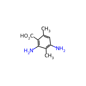 Cc1cc(N)c(C)c(N)c1C(=O)O